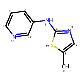 Cc1cnc(Nc2cccnc2)s1